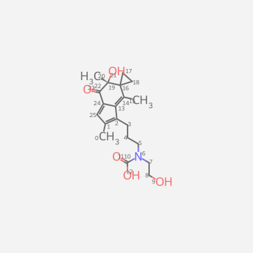 CC1=C(CCCN(CCO)C(=O)O)C2=C(C)C3(CC3)[C@@](C)(O)C(=O)C2=C1